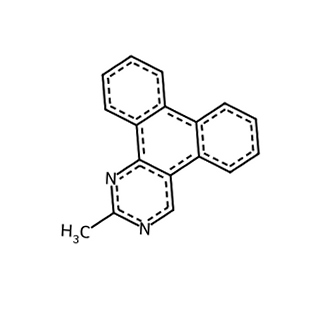 Cc1ncc2c3ccccc3c3ccccc3c2n1